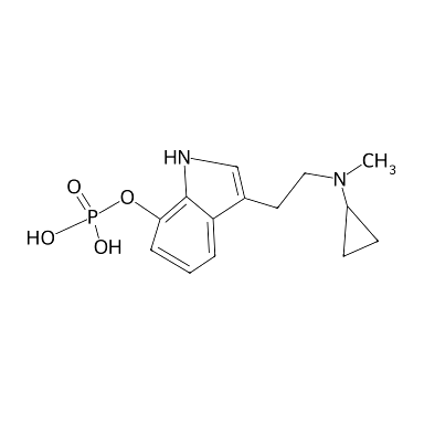 CN(CCc1c[nH]c2c(OP(=O)(O)O)cccc12)C1CC1